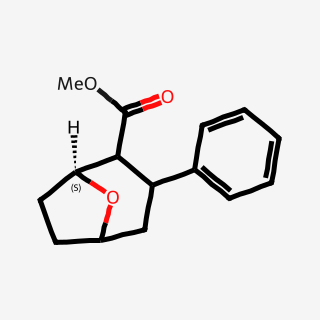 COC(=O)C1C(c2ccccc2)CC2CC[C@@H]1O2